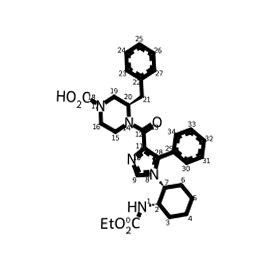 CCOC(=O)N[C@H]1CCCC[C@H]1n1cnc(C(=O)N2CCN(C(=O)O)C[C@H]2Cc2ccccc2)c1-c1ccccc1